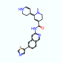 CN1CCC(C(=O)Nc2cc3cc(-c4cncs4)ccc3cn2)=CC1=C1C=CNCC1